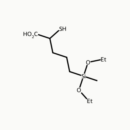 CCO[Si](C)(CCCC(S)C(=O)O)OCC